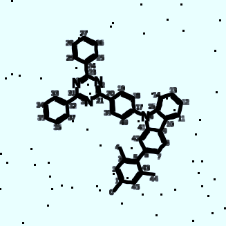 Cc1cc(C)c(-c2ccc3c4ccccc4n(-c4ccc(-c5nc(-c6ccccc6)nc(-c6ccccc6)n5)cc4)c3c2)c(C)c1